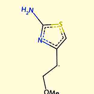 COC[CH]c1csc(N)n1